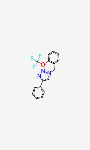 FC(F)(F)Oc1ccccc1Cn1cc(-c2ccccc2)nn1